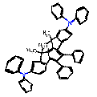 CC1(C)c2cc(N(c3ccccc3)c3ccccc3)ccc2-c2c(-c3ccccc3)c(-c3ccccc3)c3c(c21)C(C)(C)c1cc(N(c2ccccc2)c2ccccc2)ccc1-3